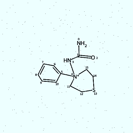 NC(=O)N[N+]1(c2ccccc2)CCSCC1